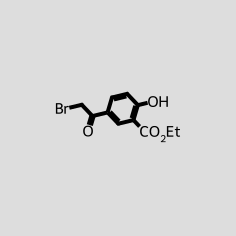 CCOC(=O)c1cc(C(=O)CBr)ccc1O